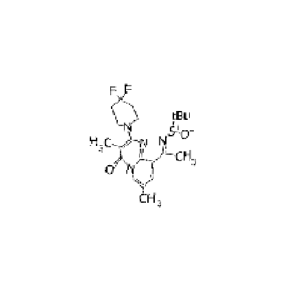 CC(=N[S@+]([O-])C(C)(C)C)c1cc(C)cn2c(=O)c(C)c(N3CCC(F)(F)CC3)nc12